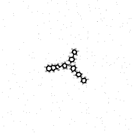 c1ccc(-c2ccc(-c3ccc(N(c4ccc(-c5ccccc5)cc4)c4ccc(-c5cc6cc7ccccc7cc6s5)cc4)cc3)cc2)cc1